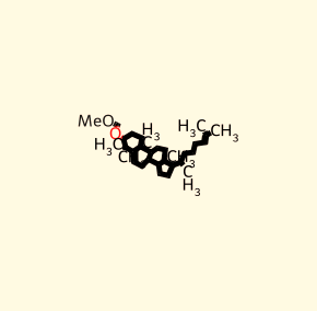 COCOC1CCC2(C)C(=CCC3C2CCC2(C)C(C(C)CCCC=C(C)C)CCC32)C1(C)C